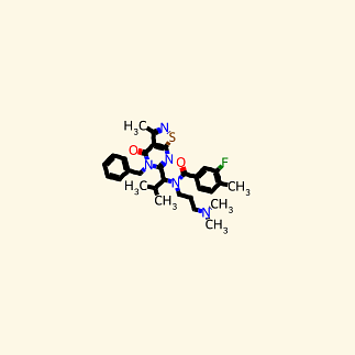 Cc1ccc(C(=O)N(CCCN(C)C)C(c2nc3snc(C)c3c(=O)n2Cc2ccccc2)C(C)C)cc1F